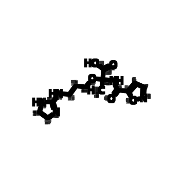 CC(NC(=O)c1ccno1)(OCCCNC1=NCCN1)C(=O)O